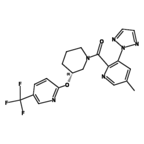 Cc1cnc(C(=O)N2CCC[C@@H](Oc3ccc(C(F)(F)F)cn3)C2)c(-n2nccn2)c1